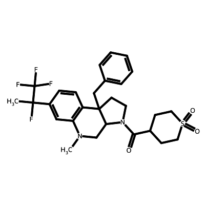 CN1CC2N(C(=O)C3CCS(=O)(=O)CC3)CCC2(Cc2ccccc2)c2ccc(C(C)(F)C(F)(F)F)cc21